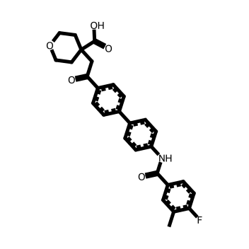 Cc1cc(C(=O)Nc2ccc(-c3ccc(C(=O)CC4(C(=O)O)CCOCC4)cc3)cc2)ccc1F